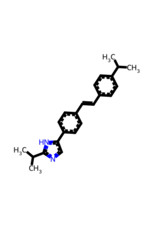 CC(C)c1ccc(/C=C/c2ccc(-c3cnc(C(C)C)[nH]3)cc2)cc1